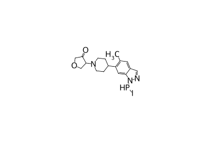 Cc1cc2cnn(PI)c2cc1C1CCN(C2COCC2=O)CC1